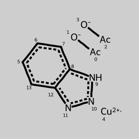 CC(=O)[O-].CC(=O)[O-].[Cu+2].c1ccc2[nH]nnc2c1